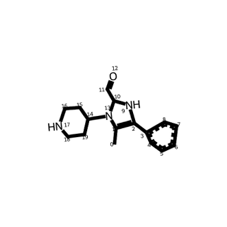 CC1=C(c2ccccc2)NC(C=O)N1C1CCNCC1